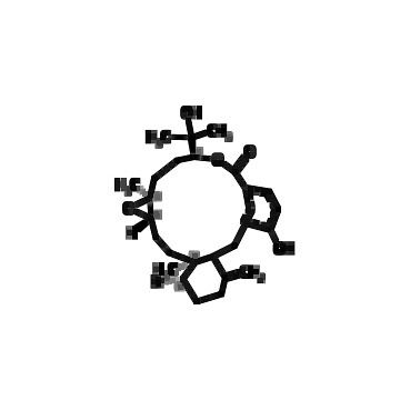 C=C1CC[C@H](Br)[C@@]2(C)CC[C@@H]3O[C@@]3(C)CC[C@@H](C(C)(C)O)OC(=O)c3ccc(O)c(c3)CC12